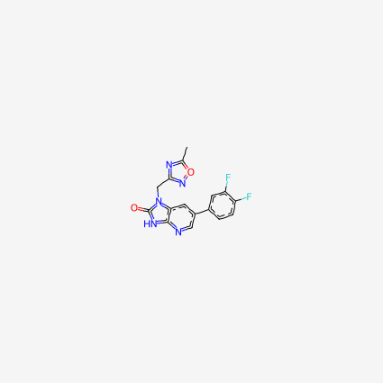 Cc1nc(Cn2c(=O)[nH]c3ncc(-c4ccc(F)c(F)c4)cc32)no1